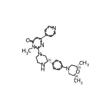 C[C@@H]1CN(c2ccc([C@H]3CN(c4nc(-c5ccncc5)cc(=O)n4C)CCN3)cc2)C[C@H](C)O1